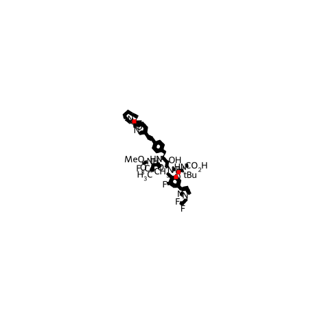 COC(=O)N[C@H](C(=O)N[C@@H](Cc1ccc(C#Cc2ccc(N3CC4CCC(C3)N4C3COC3)nc2)cc1)[C@@H](O)CN(Cc1c(F)cc(-c2ccn(CC(F)F)n2)cc1F)NC(=O)[C@@H](NC(=O)O)C(C)(C)C)C(C)(C)C(F)(F)F